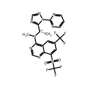 C[C@@H](c1ncnn1-c1ncccn1)N(C)c1ncnc2c(S(=O)(=O)C(F)(F)F)cc(C(F)(F)F)cc12